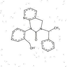 CC(c1ccccc1)N1Cc2cccnc2N(c2ccccc2CO)C1=O